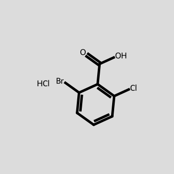 Cl.O=C(O)c1c(Cl)cccc1Br